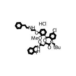 COc1c(OCCNCCc2ccccc2)cccc1[C@H]1O[C@H](CC(=O)NCc2ccccc2F)C(=O)N(CC(C)(C)C)c2ccc(Cl)cc21.Cl